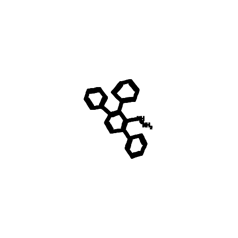 NNc1c(-c2ccccc2)ccc(-c2ccccc2)c1-c1ccccc1